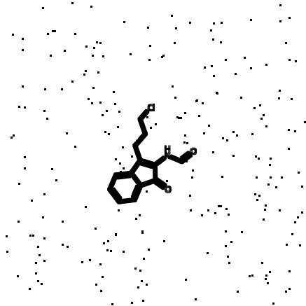 O=CNC1=C(CCCCl)c2ccccc2C1=O